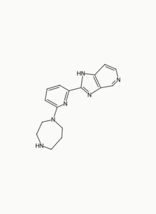 c1cc(-c2nc3cnccc3[nH]2)nc(N2CCCNCC2)c1